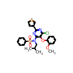 COc1ccccc1Oc1c(Cl)nc(-c2ccsc2)nc1N(CC(C)C)S(=O)(=O)c1ccccc1